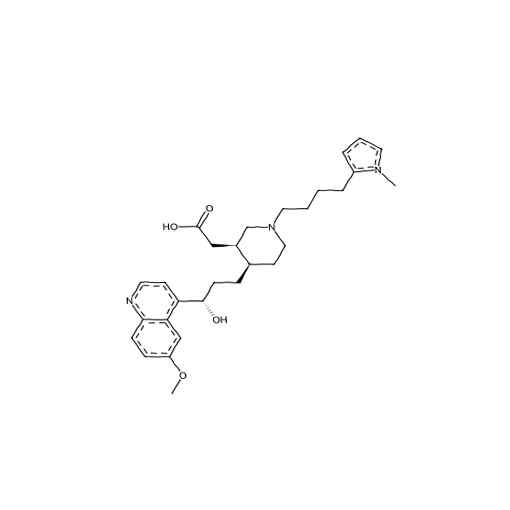 COc1ccc2nccc([C@@H](O)CC[C@@H]3CCN(CCCCc4cccn4C)C[C@@H]3CC(=O)O)c2c1